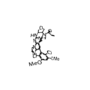 C=CC(=O)NC1COCC1Nc1ncc2cc(-c3c(Cl)c(OC)cc(OC)c3Cl)c3nccn3c2n1